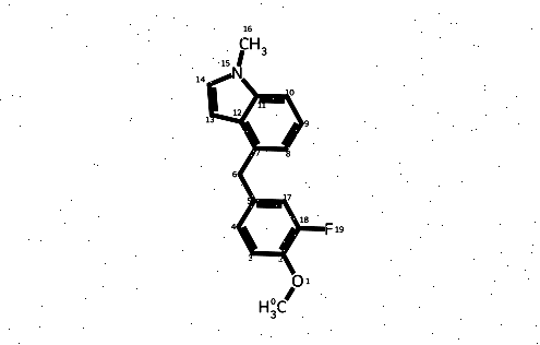 COc1ccc(Cc2cccc3c2ccn3C)cc1F